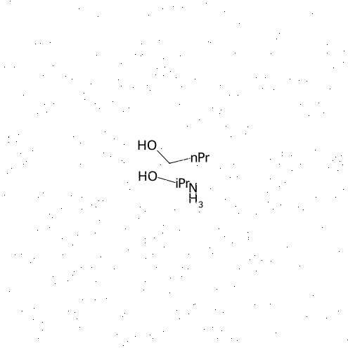 CC(C)O.CCCCO.N